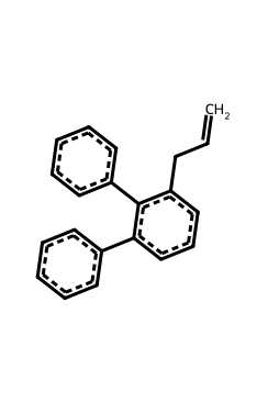 C=CCc1cccc(-c2ccccc2)c1-c1ccccc1